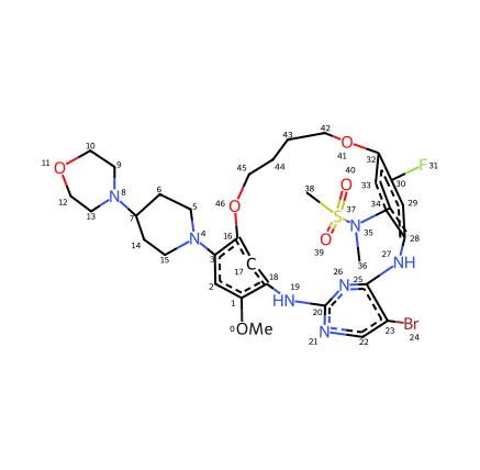 COc1cc(N2CCC(N3CCOCC3)CC2)c2cc1Nc1ncc(Br)c(n1)Nc1cc(F)c(cc1N(C)S(C)(=O)=O)OCCCCO2